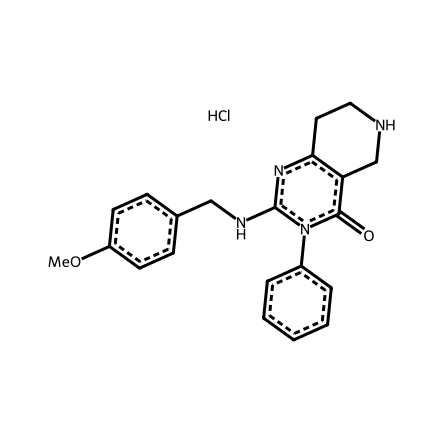 COc1ccc(CNc2nc3c(c(=O)n2-c2ccccc2)CNCC3)cc1.Cl